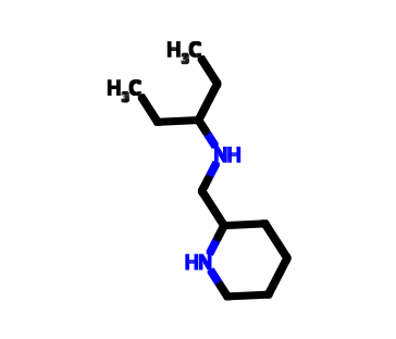 CCC(CC)NCC1CCCCN1